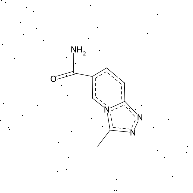 Cc1nnc2ccc(C(N)=O)cn12